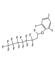 FC(CC(F)(F)C(F)(F)C(F)(F)C(F)(F)C(F)(F)C(F)(F)F)Oc1c(I)cc(I)cc1I